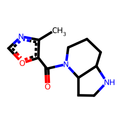 Cc1ncoc1C(=O)N1CCCC2NCCC21